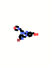 OCc1ccc2c(c1)nc(NCCCN1CCOCC1)n2Cc1cccc(Br)n1